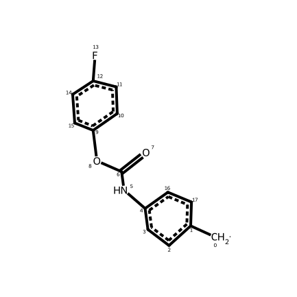 [CH2]c1ccc(NC(=O)Oc2ccc(F)cc2)cc1